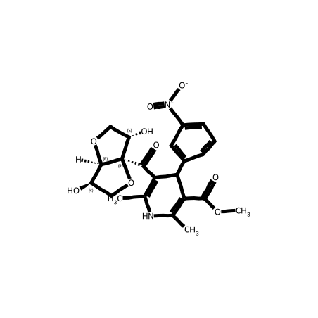 COC(=O)C1=C(C)NC(C)=C(C(=O)[C@]23OC[C@@H](O)[C@H]2OC[C@@H]3O)C1c1cccc([N+](=O)[O-])c1